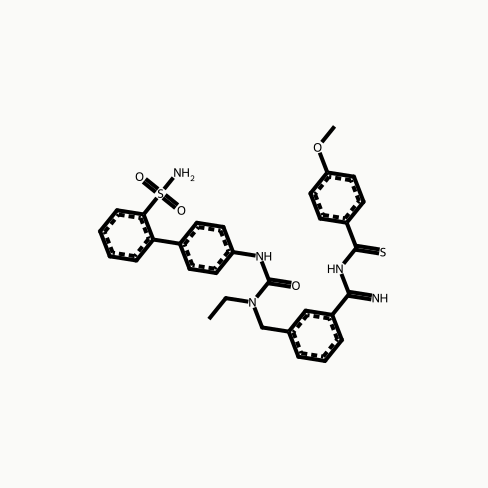 CCN(Cc1cccc(C(=N)NC(=S)c2ccc(OC)cc2)c1)C(=O)Nc1ccc(-c2ccccc2S(N)(=O)=O)cc1